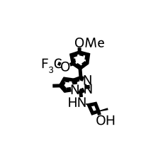 COc1ccc(-c2nnc(N[C@H]3C[C@@](C)(O)C3)n3cc(C)cc23)c(OC(F)(F)F)c1